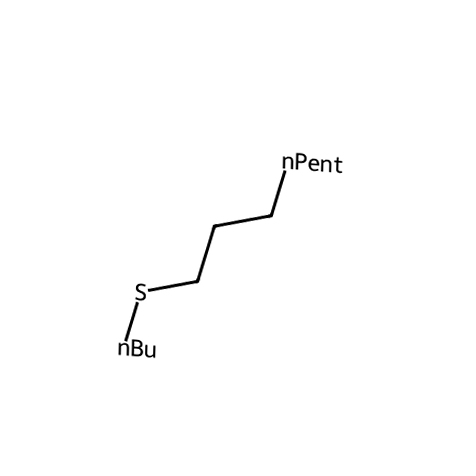 [CH2]CCCCCCCSCCCC